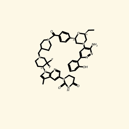 CC[C@H]1CN(c2cc(-c3ccccc3O)nnc2N)C[C@@H](c2ccc(C(=O)N3CCC(CN4CC[C@H](n5cc(C)c6cc(N7CCC(=O)NC7=O)cnc65)C(F)(F)C4)CC3)cc2)O1